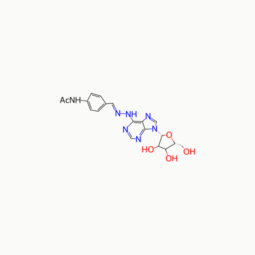 CC(=O)Nc1ccc(/C=N/Nc2ncnc3c2ncn3[C@@H]2O[C@H](CO)C(O)C2O)cc1